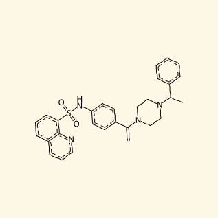 C=C(c1ccc(NS(=O)(=O)c2cccc3cccnc23)cc1)N1CCN(C(C)c2ccccc2)CC1